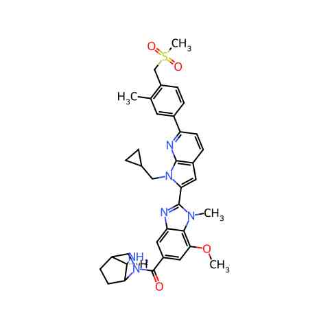 COc1cc(C(=O)N2CC3CCC2[C@@H]3N)cc2nc(-c3cc4ccc(-c5ccc(CS(C)(=O)=O)c(C)c5)nc4n3CC3CC3)n(C)c12